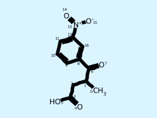 CC(CC(=O)O)C(=O)c1cccc([N+](=O)[O-])c1